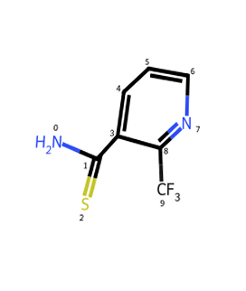 NC(=S)c1cccnc1C(F)(F)F